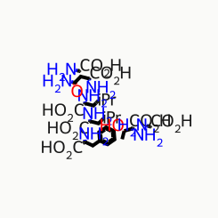 CC(C)CC(N)C(=O)O.CC(C)CC(N)C(=O)O.CC(O)C(N)C(=O)O.NC(=O)CC(N)C(=O)O.NC(Cc1ccccc1)C(=O)O.NCC(=O)O.NCC(=O)O